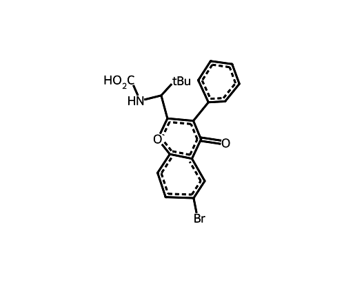 CC(C)(C)C(NC(=O)O)c1oc2ccc(Br)cc2c(=O)c1-c1ccccc1